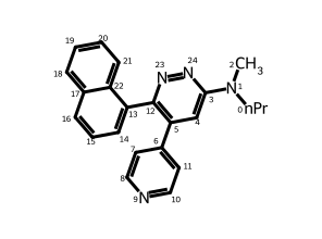 CCCN(C)c1cc(-c2ccncc2)c(-c2cccc3ccccc23)nn1